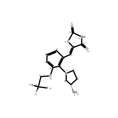 N[C@H]1CCN(c2c(/C=C3\SC(=O)NC3=O)cccc2OCC(F)(F)F)C1